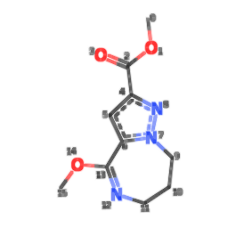 COC(=O)c1cc2n(n1)CCCN=C2OC